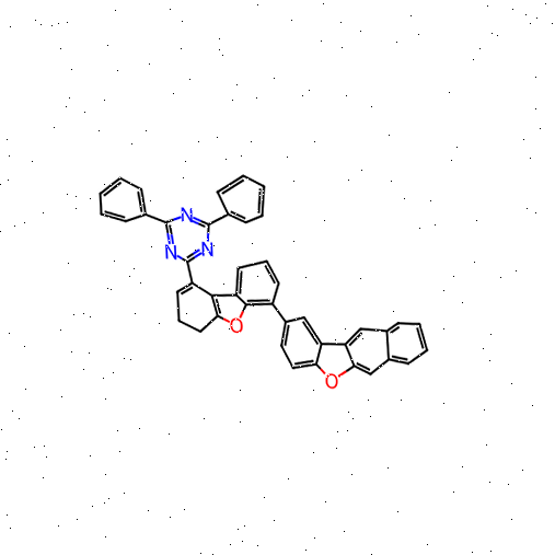 C1=C(c2nc(-c3ccccc3)nc(-c3ccccc3)n2)c2c(oc3c(-c4ccc5oc6cc7ccccc7cc6c5c4)cccc23)CC1